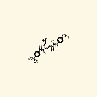 CCN(CC)c1ccc(NC(=S)N(CCNC(=O)Nc2ccc(C(F)(F)F)cc2)CCN(C)C)cc1